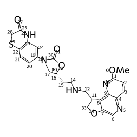 COc1ccc2ncc3c(c2n1)C(CNCC[C@@H]1CN(c2ccc4c(c2)NC(=O)CS4)C(=O)O1)CO3